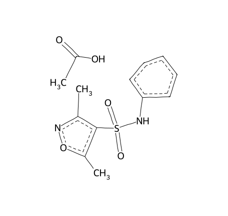 CC(=O)O.Cc1noc(C)c1S(=O)(=O)Nc1ccccc1